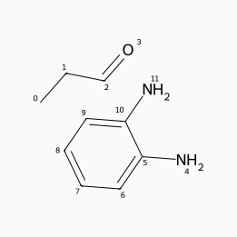 CCC=O.Nc1ccccc1N